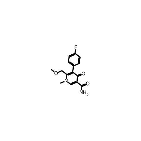 COCc1c(-c2ccc(F)cc2)c(=O)c(C(N)=O)cn1C